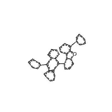 c1ccc(-c2c3ccccc3c(-c3cccc4oc5c(-c6ccccc6)cccc5c34)c3ccccc23)cc1